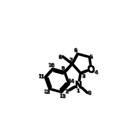 CN(C)C1OCCC1(C)c1ccccc1